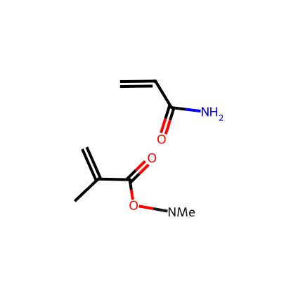 C=C(C)C(=O)ONC.C=CC(N)=O